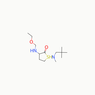 CCOCNC1CC[SH](N(C)CC(C)(C)C)C1=O